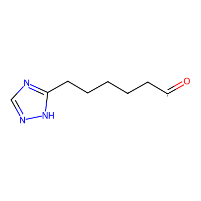 O=[C]CCCCCc1ncn[nH]1